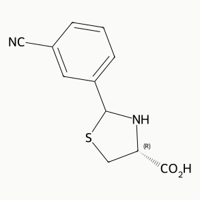 N#Cc1cccc(C2N[C@H](C(=O)O)CS2)c1